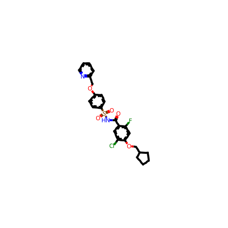 O=C(NS(=O)(=O)c1ccc(OCc2ccccn2)cc1)c1cc(Cl)c(OCC2CCCC2)cc1F